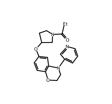 CCC(=O)N1CCC(Oc2ccc3c(c2)N(c2cccnc2)CCO3)C1